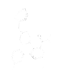 COc1ccc(N2CCN(Cc3ccccc3)C[C@H]2c2ccc(F)cc2)c(C(=O)N(C)C)c1